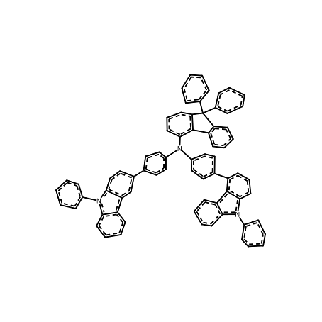 c1ccc(-n2c3ccccc3c3cc(-c4ccc(N(c5ccc(-c6cccc7c6c6ccccc6n7-c6ccccc6)cc5)c5cccc6c5-c5ccccc5C6(c5ccccc5)c5ccccc5)cc4)ccc32)cc1